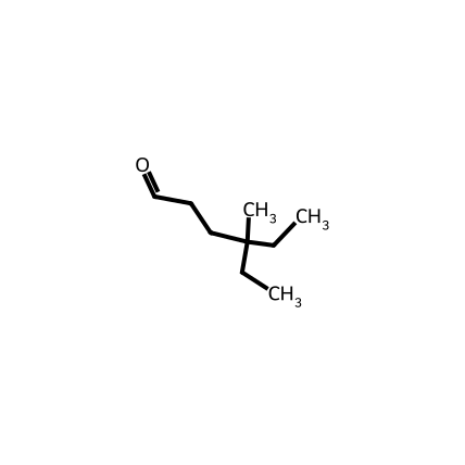 CCC(C)(CC)CCC=O